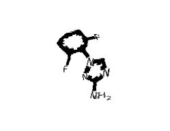 Nc1ncn(-c2c(F)cccc2F)n1